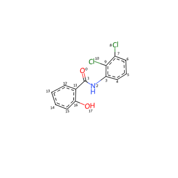 O=C(Nc1cccc(Cl)c1Cl)c1ccccc1O